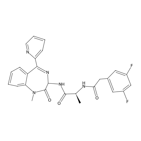 C[C@H](NC(=O)Cc1cc(F)cc(F)c1)C(=O)NC1N=C(c2ccccn2)c2ccccc2N(C)C1=O